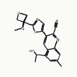 COC1(c2ncc(-c3cc4c(C(C)O)cc(C)cc4nc3C#N)s2)COC1